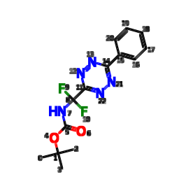 CC(C)(C)OC(=O)NC(F)(F)c1nnc(-c2ccccc2)nn1